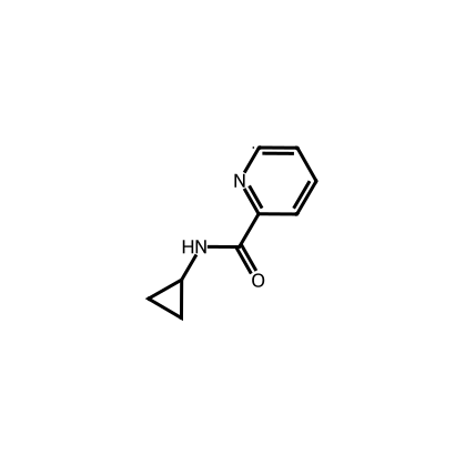 O=C(NC1CC1)c1ccc[c]n1